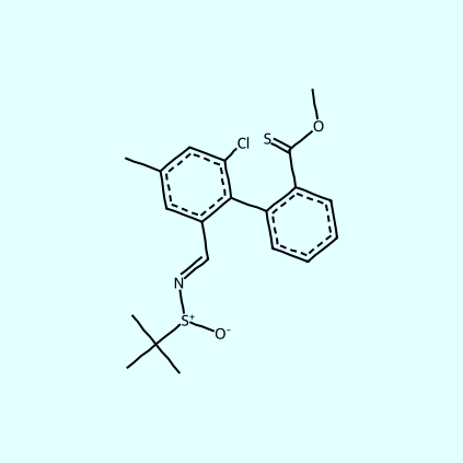 COC(=S)c1ccccc1-c1c(Cl)cc(C)cc1/C=N/[S+]([O-])C(C)(C)C